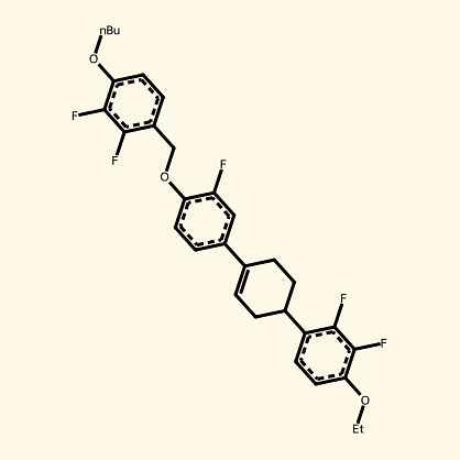 CCCCOc1ccc(COc2ccc(C3=CCC(c4ccc(OCC)c(F)c4F)CC3)cc2F)c(F)c1F